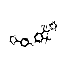 OC(Cn1cncn1)c1ccc(Oc2ccc(C3OCCO3)cc2)nc1C(F)(F)F